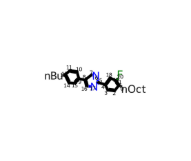 CCCCCCCCc1ccc(-c2ncc(-c3ccc(CCCC)cc3)cn2)cc1F